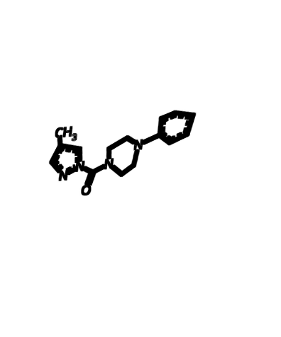 Cc1cnn(C(=O)N2CCN(c3ccccc3)CC2)c1